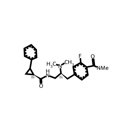 CNC(=O)c1ccc(C[C@@H](CNC(=O)[C@H]2CC2c2ccccc2)N(C)C)cc1F